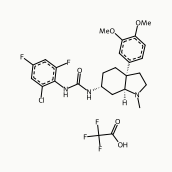 COc1ccc([C@@]23CC[C@@H](NC(=O)Nc4c(F)cc(F)cc4Cl)C[C@@H]2N(C)CC3)cc1OC.O=C(O)C(F)(F)F